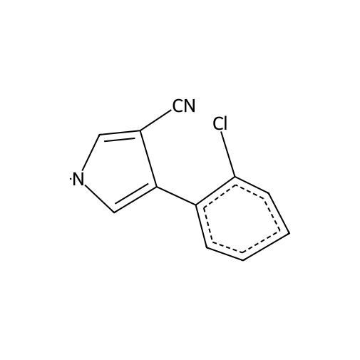 N#CC1=C[N]C=C1c1ccccc1Cl